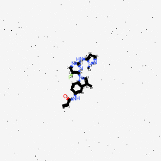 C=CC(=O)Nc1ccc2c(c1)c(C)cn2-c1nc(Nc2ccnn2C)ncc1F